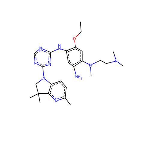 CCOc1cc(N(C)CCN(C)C)c(N)cc1Nc1ncnc(N2CC(C)(C)c3nc(C)ccc32)n1